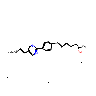 CCCCCCCC=Cc1cnc(-c2ccc(CCCCCC(C)O)cc2)nc1